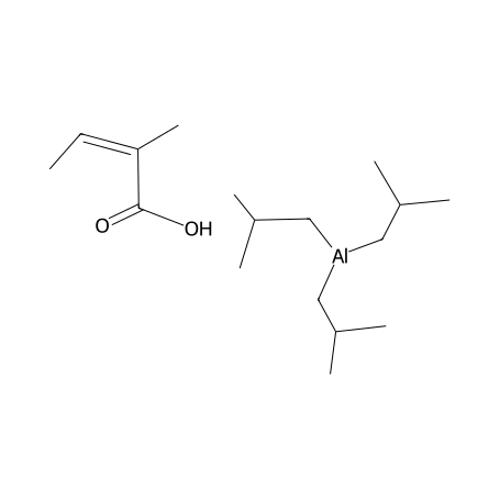 CC(C)[CH2][Al]([CH2]C(C)C)[CH2]C(C)C.CC=C(C)C(=O)O